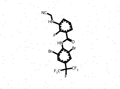 N#CCNc1cccc(C(=O)Nc2c(Br)cc(C(F)(C(F)(F)F)C(F)(F)F)cc2Br)c1F